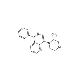 CC1CNCCN1c1nnc(-c2ccccc2)c2cccnc12